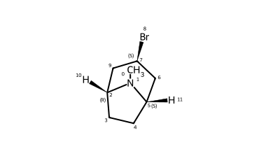 CN1[C@@H]2CC[C@H]1C[C@H](Br)C2